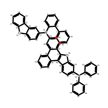 c1ccc(-c2ccccc2N(c2ccc3oc4ccccc4c3c2)c2ccc3c(c2)c2ccccc2c2c4ccc(N(c5ccccc5)c5ccccc5)cc4oc32)cc1